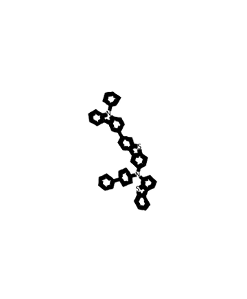 c1ccc(-c2ccc(N(c3ccc4sc5cc(-c6ccc7c(c6)c6ccccc6n7-c6ccccc6)ccc5c4c3)c3cccc4c3sc3ccccc34)cc2)cc1